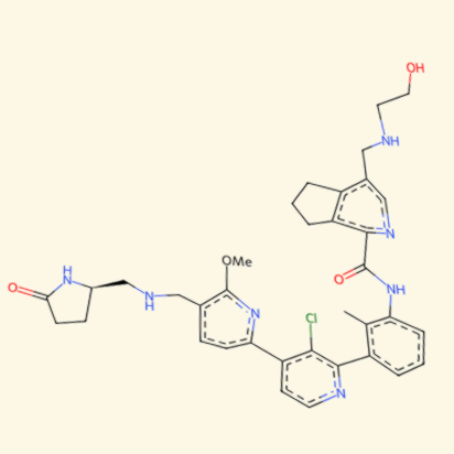 COc1nc(-c2ccnc(-c3cccc(NC(=O)c4ncc(CNCCO)c5c4CCC5)c3C)c2Cl)ccc1CNC[C@H]1CCC(=O)N1